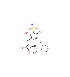 Cc1ccccc1C(Nc1c(Nc2ccc(Cl)c(S(=O)(=O)N(C)C)c2O)c(=O)c1=O)C(C)(C)C